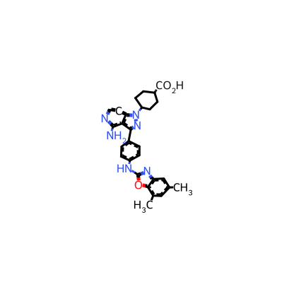 Cc1cc(C)c2oc(Nc3ccc(-c4nn(C5CCC(C(=O)O)CC5)c5ccnc(N)c45)cc3)nc2c1